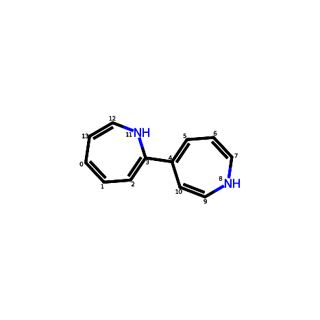 C1=CC=C(C2=CC=CNC=C2)NC=C1